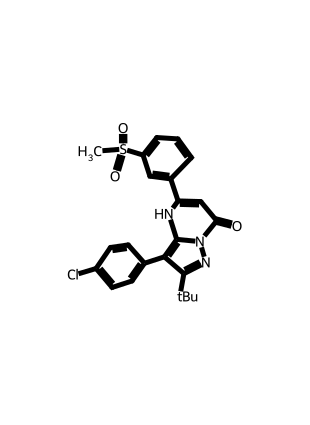 CC(C)(C)c1nn2c(=O)cc(-c3cccc(S(C)(=O)=O)c3)[nH]c2c1-c1ccc(Cl)cc1